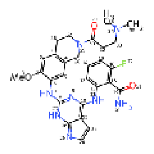 COc1cc2c(cc1Nc1nc(Nc3cccc(F)c3C(N)=O)c3ccnc-3[nH]1)CN(C(=O)CCN(C)C)CC2